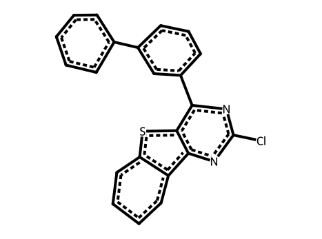 Clc1nc(-c2cccc(-c3ccccc3)c2)c2sc3ccccc3c2n1